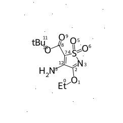 CCOC1=NS(=O)(=O)C(C(=O)OC(C)(C)C)=C1N